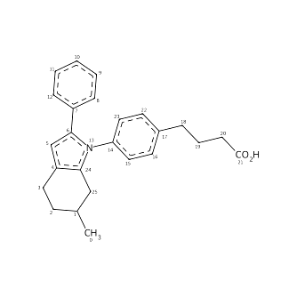 CC1CCc2cc(-c3ccccc3)n(-c3ccc(CCCC(=O)O)cc3)c2C1